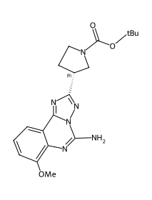 COc1cccc2c1nc(N)n1nc([C@@H]3CCN(C(=O)OC(C)(C)C)C3)nc21